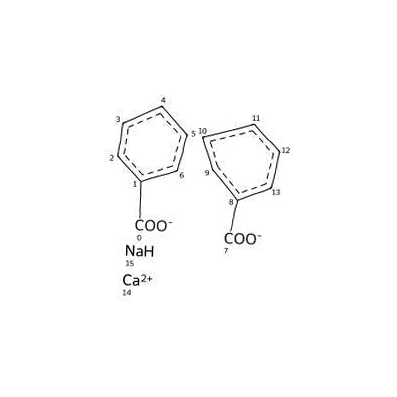 O=C([O-])c1ccccc1.O=C([O-])c1ccccc1.[Ca+2].[NaH]